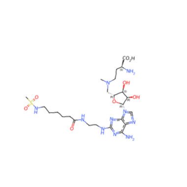 CN(CC[C@H](N)C(=O)O)C[C@H]1O[C@@H](n2cnc3c(N)nc(NCCNC(=O)CCCCCNS(C)(=O)=O)nc32)[C@H](O)[C@@H]1O